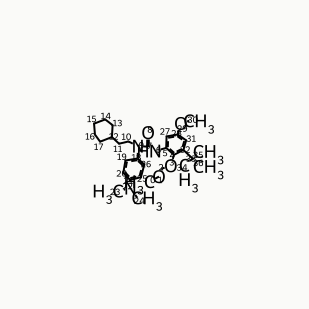 COCOc1c(NC(=O)N(CCC2CCCCC2)c2ccc(N(C)C)cc2)cc(OC)cc1C(C)(C)C